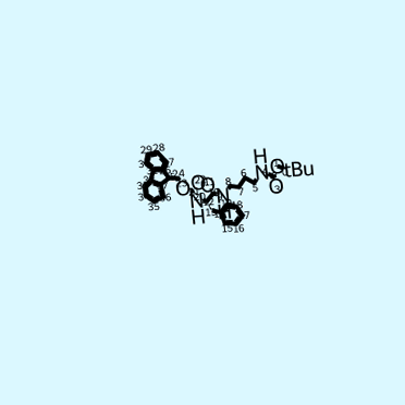 CC(C)(C)OC(=O)NCCCCNC(=O)[C@H](Cc1ccccc1)NC(=O)OCC1c2ccccc2-c2ccccc21